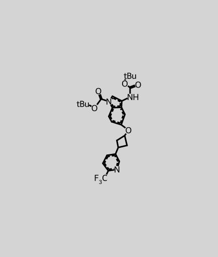 CC(C)(C)OC(=O)Nc1cn(C(=O)OC(C)(C)C)c2ccc(OC3CC(c4ccc(C(F)(F)F)nc4)C3)cc12